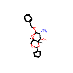 N[C@H]1C(OCc2ccccc2)O[C@@H]2COC(c3ccccc3)O[C@H]2[C@@H]1O